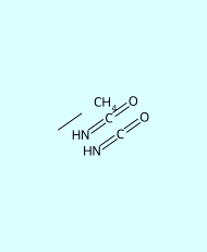 C.CC.N=C=O.N=C=O